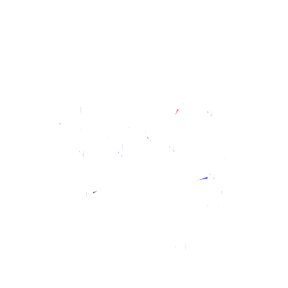 C[C@@H]1CCC=C[C@@H]2C[C@@]2(C(=O)NS(=O)(=O)C2(C)CC2)NC(=O)[C@@H]2C[C@@H](Oc3nccc4c5c(ccc34)CCO5)CN2C(=O)[C@@H](N(C(=O)O)C(C)(C)C)[C@H](C)C1